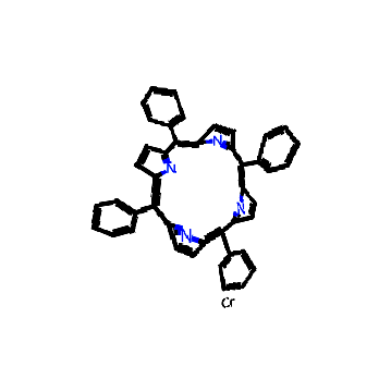 C1=CC2=C(c3ccccc3)C3=NC(=C(c4ccccc4)C4=NC(=C(c5ccccc5)C5=NC(=C(c6ccccc6)C1=N2)C=C5)C=C4)C=C3.[Cr]